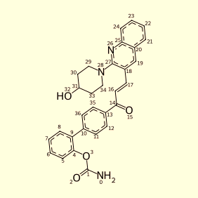 NC(=O)Oc1ccccc1-c1ccc(C(=O)C=Cc2cc3ccccc3nc2N2CCC(O)CC2)cc1